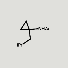 CC(=O)NC1(CC(C)C)CC1